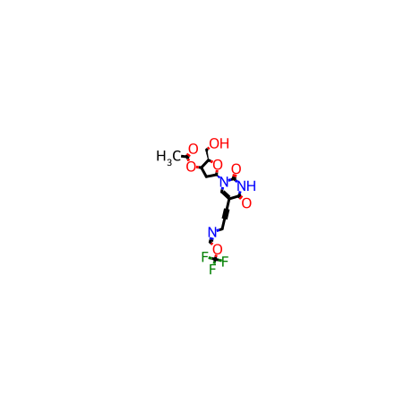 CC(=O)OC1C[C@H](n2cc(C#CC/N=C\OC(F)(F)F)c(=O)[nH]c2=O)O[C@@H]1CO